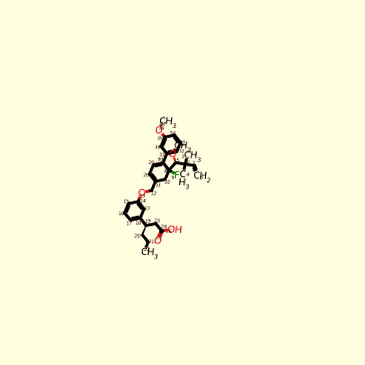 C=CC(C)(C)[C@H](OC)C1(F)CC(COc2cccc([C@H](CCC)CC(=O)O)c2)=CC=C1c1cccc(OC)c1